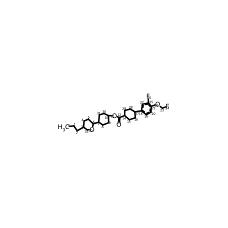 CCCC1CCC(C2CCC(OC(=O)C3CCC(c4ccc(OCF)c(F)c4)CC3)CC2)OC1